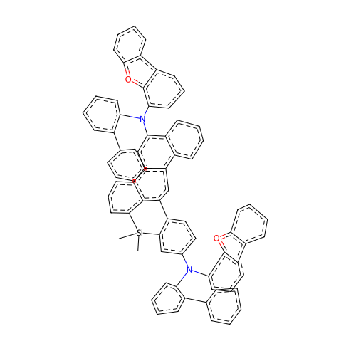 C[Si]1(C)c2cc(N(c3ccccc3-c3ccccc3)c3cccc4c3oc3ccccc34)ccc2-c2cc3c4ccccc4c(N(c4ccccc4-c4ccccc4)c4cccc5c4oc4ccccc45)cc3c3cccc1c23